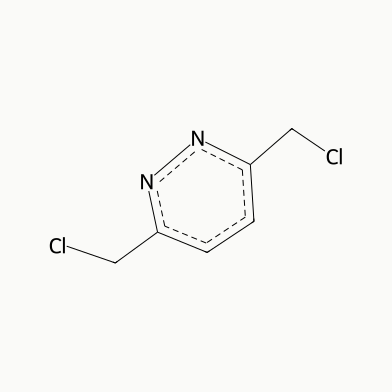 ClCc1ccc(CCl)nn1